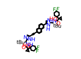 CC(C)(C)[C@H](NC(=O)C1(C2(O)CCC(F)(F)CC2)CC1)c1ncc(C#Cc2ccc3cc(-c4cnc([C@@H](NC(=O)C5(C6(O)CCC(F)(F)CC6)CC5)C(C)(C)C)[nH]4)ccc3c2)[nH]1